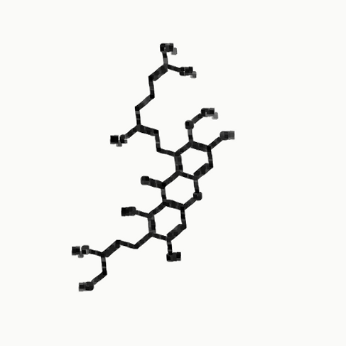 COc1c(O)cc2oc3cc(O)c(C/C=C(/C)CO)c(O)c3c(=O)c2c1C/C=C(\C)CCC=C(C)C